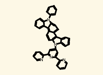 c1ccc(-n2c3ccccc3c3c4ccc5c(c4ccc32)c2ccccc2n5-c2cc(-c3ccccn3)nc(-c3ccccn3)c2)cc1